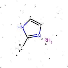 Cc1ncc[nH]1.P